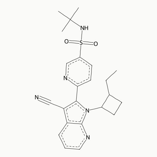 CCC1CCC1n1c(-c2ccc(S(=O)(=O)NC(C)(C)C)cn2)c(C#N)c2cccnc21